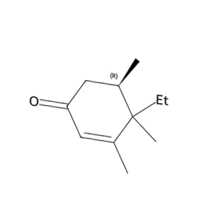 CCC1(C)C(C)=CC(=O)C[C@H]1C